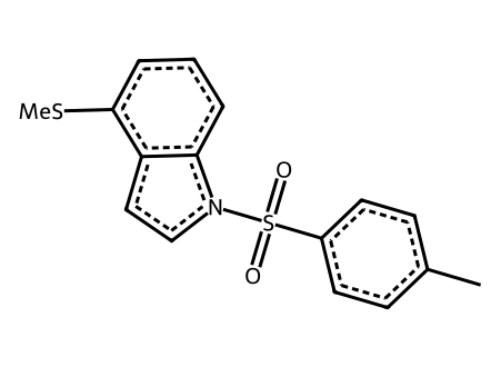 CSc1cccc2c1ccn2S(=O)(=O)c1ccc(C)cc1